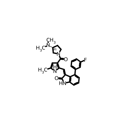 Cc1cc(C(=O)N2CC[C@@H](N(C)C)C2)c(C=C2C(=O)Nc3cccc(-c4cccc(F)c4)c32)[nH]1